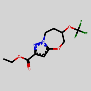 CCOC(=O)c1cc2n(n1)CCC(OC(F)(F)F)CO2